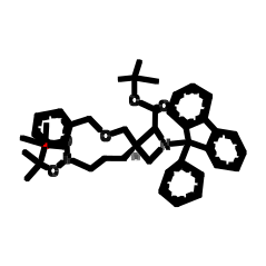 CC(C)(C)OC(=O)C1N(C2(c3ccccc3)c3ccccc3-c3ccccc32)C[C@]1(CCCB1OC(C)(C)C(C)(C)O1)COCc1ccccc1